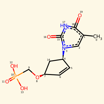 Cc1cn([C@H]2C=C[C@@H](OCP(=O)(O)O)C2)c(=O)[nH]c1=O